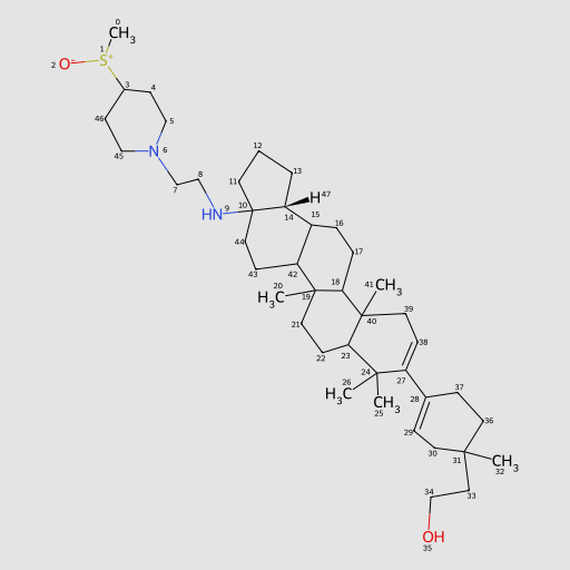 C[S+]([O-])C1CCN(CCNC23CCC[C@@H]2C2CCC4C(C)(CCC5C(C)(C)C(C6=CCC(C)(CCO)CC6)=CCC54C)C2CC3)CC1